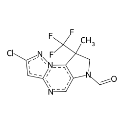 CC1(C(F)(F)F)CN(C=O)c2cnc3cc(Cl)nn3c21